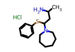 CC(N)CC(Sc1ccccc1)N1CCCCCC1.Cl